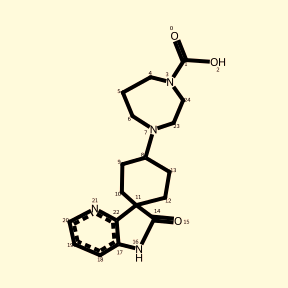 O=C(O)N1CCCN(C2CCC3(CC2)C(=O)Nc2cccnc23)CC1